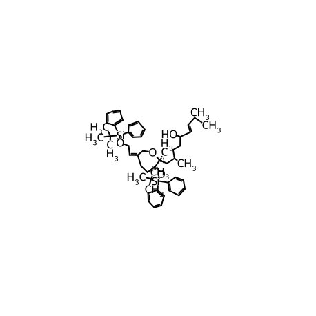 CC(C)C=CC(O)CCC(C)C[C@]1(C)OCC(=CCO[Si](c2ccccc2)(c2ccccc2)C(C)(C)C)CC[C@H]1O[Si](c1ccccc1)(c1ccccc1)C(C)(C)C